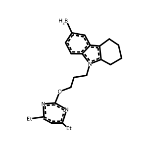 Bc1ccc2c(c1)c1c(n2CCCOc2nc(CC)cc(CC)n2)CCCC1